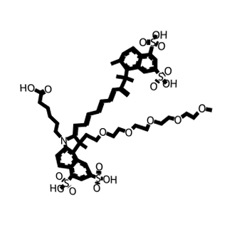 C=C(/C=C/C=C/C=C/C=C1/N(CCCCCC(=O)O)c2ccc3c(S(=O)(=O)O)cc(S(=O)(=O)O)cc3c2C1(C)CCOCCOCCOCCOCCOC)C(C)(C)c1c(C)ccc2c(S(=O)(=O)O)cc(S(=O)(=O)O)cc12